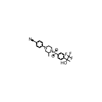 CC1CN(c2ccc(C#N)cc2)CCN1S(=O)(=O)c1ccc(C(C)(O)C(F)(F)F)cc1